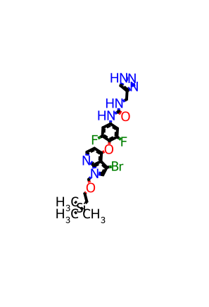 C[Si](C)(C)CCOCn1cc(Br)c2c(Oc3c(F)cc(NC(=O)NCc4c[nH]nn4)cc3F)ccnc21